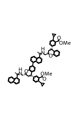 COC(=O)c1cc([C@H]2C[C@H](CN[C@H](C)c3cccc4c(-c5ccc6c(c5)O[C@@H](CN[C@H](C)c5cccc7ccccc57)C[C@H]6c5ccc(C6CC6)c(C(=O)OC)c5)cccc34)Oc3ccccc32)ccc1C1CC1